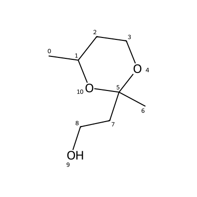 CC1CCOC(C)(CCO)O1